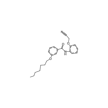 CCCCCCCOc1cccc(C(=O)Nc2ccccc2OCC#N)c1